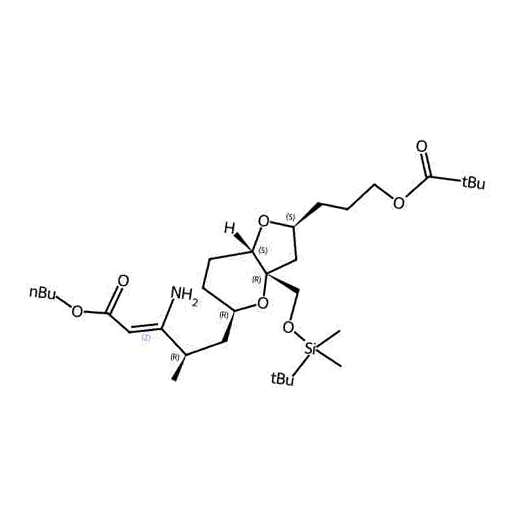 CCCCOC(=O)/C=C(\N)[C@H](C)C[C@H]1CC[C@@H]2O[C@@H](CCCOC(=O)C(C)(C)C)C[C@]2(CO[Si](C)(C)C(C)(C)C)O1